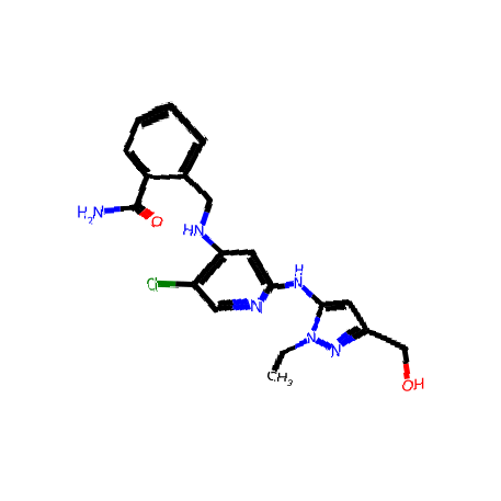 CCn1nc(CO)cc1Nc1cc(NCc2ccccc2C(N)=O)c(Cl)cn1